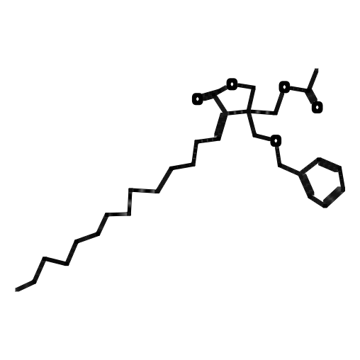 CCCCCCCCCCCCC/C=C1\C(=O)OCC1(COCc1ccccc1)COC(C)=O